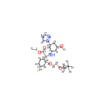 CCOC(=O)C(Nc1cc(OC)cc(-n2cncn2)c1)c1ccc(F)cc1OCCO[Si](C)(C)C(C)(C)C